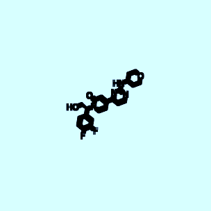 O=c1cc(-c2ccnc(NC3CCOCC3)n2)ccn1[C@H](CO)c1ccc(F)c(F)c1